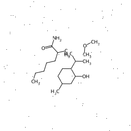 CC1CCC(C(C)C)C(O)C1.CCCCCC(C)C(N)=O.COC